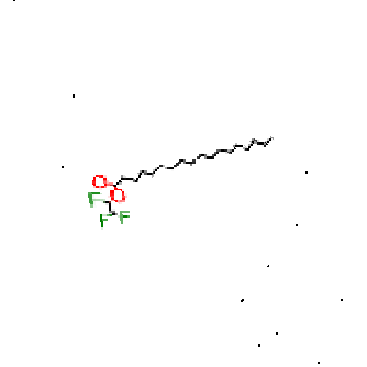 CCCCCCCCCCCCCCCCCC(=O)OC(F)C(F)F